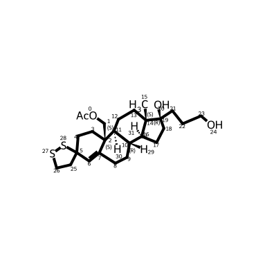 CC(=O)OC[C@]12CCC3(C=C1CC[C@@H]1[C@@H]2CC[C@@]2(C)[C@H]1CC[C@@]2(O)CCCO)CCSS3